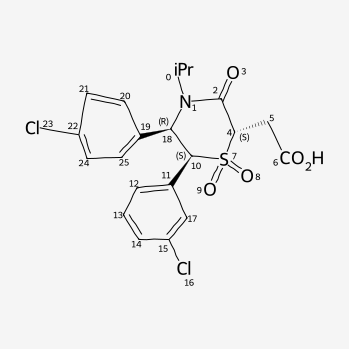 CC(C)N1C(=O)[C@H](CC(=O)O)S(=O)(=O)[C@@H](c2cccc(Cl)c2)[C@H]1c1ccc(Cl)cc1